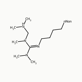 CCCCCCCCCCCCCN=C(N(C)C)N(C)C[SiH](C)C